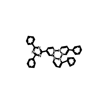 C1=CB2N3C=C(c4nc(-c5ccccc5)nc(-c5ccccc5)n4)C=CB3N3C=CC(c4ccccc4)=CB3N2C(c2ccccc2)=C1